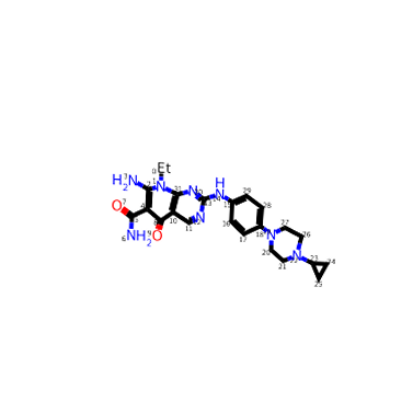 CCn1c(N)c(C(N)=O)c(=O)c2cnc(Nc3ccc(N4CCN(C5CC5)CC4)cc3)nc21